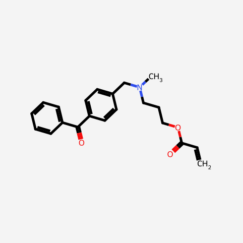 C=CC(=O)OCCCN(C)Cc1ccc(C(=O)c2ccccc2)cc1